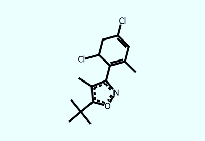 CC1=C(c2noc(C(C)(C)C)c2C)C(Cl)CC(Cl)=C1